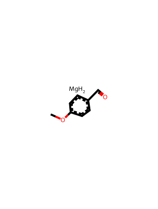 COc1ccc(C=O)cc1.[MgH2]